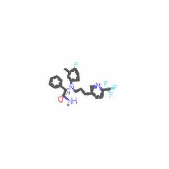 CNC(=O)[C@H](c1ccccc1)N(CCCc1ccc(C(F)(F)F)nc1)c1ccc(F)c(C)c1